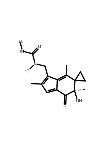 CCNC(=O)N(O)CC1=C(C)C=C2C(=O)[C@](C)(O)C3(CC3)C(C)=C21